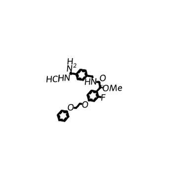 CO[C@H](C(=O)NCc1ccc(C(=N)N)cc1)c1ccc(OCCOc2ccccc2)cc1F.Cl